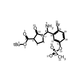 CC(C)(C)OC(=O)C1CCN(C(N)c2cc(OS(C)(=O)=O)ccc2Br)C1=O